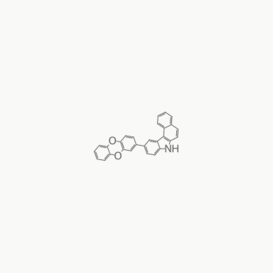 c1ccc2c(c1)Oc1ccc(-c3ccc4[nH]c5ccc6ccccc6c5c4c3)cc1O2